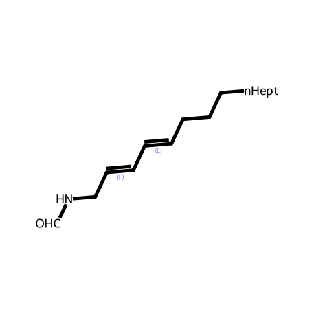 CCCCCCCCCC/C=C/C=C/CNC=O